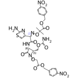 CC(C)(O/N=C(\C(=O)N[C@H]1C(=O)N(OCC(=O)OCc2ccc([N+](=O)[O-])cc2)[C@@H]1COC(N)=O)c1csc(N)n1)C(=O)OCc1ccc([N+](=O)[O-])cc1